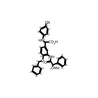 COC(C(=O)Nc1cc(C(Nc2ccc(C#N)cc2)C(=O)O)ccc1OCc1ccccc1)c1ccccc1